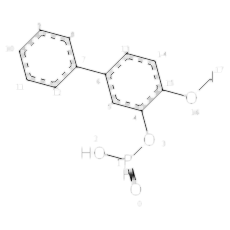 O=[PH](O)Oc1cc(-c2ccccc2)ccc1OI